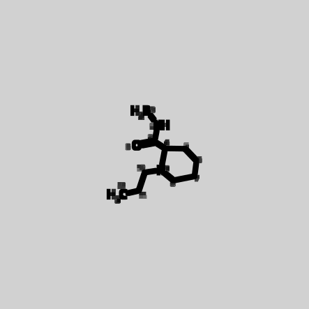 BNC(=O)C1CCCCN1CCC